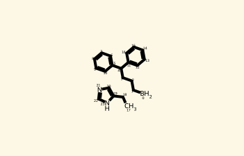 BCCCC(c1ccccc1)c1ccccc1.CCc1cnc[nH]1